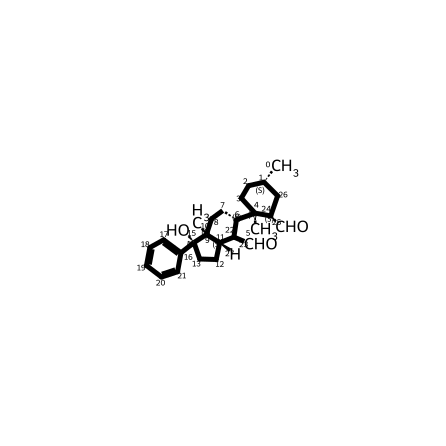 C[C@H]1CC[C@](C)([C@H]2CC[C@@]3(C)[C@@H](CC[C@@]3(O)c3ccccc3)C2C=O)[C@@H](C=O)C1